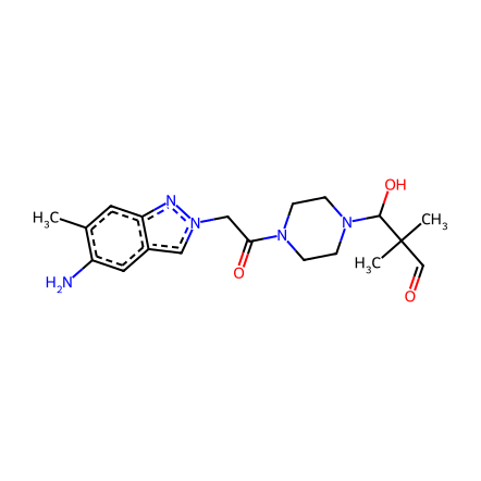 Cc1cc2nn(CC(=O)N3CCN(C(O)C(C)(C)C=O)CC3)cc2cc1N